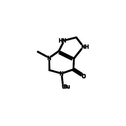 CN1CN(C(C)(C)C)C(=O)C2=C1NCN2